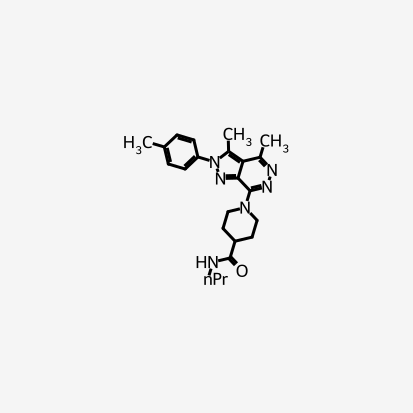 CCCNC(=O)C1CCN(c2nnc(C)c3c(C)n(-c4ccc(C)cc4)nc23)CC1